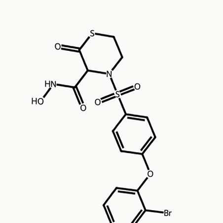 O=C(NO)C1C(=O)SCCN1S(=O)(=O)c1ccc(Oc2ccccc2Br)cc1